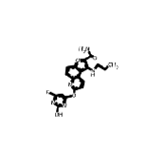 CCCNc1c(C(N)=O)oc2ccc3nc(Oc4cc(F)nc(O)n4)ccc3c12